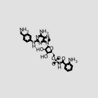 NCc1ccc(Nc2nc(N)c3ncn([C@@H]4O[C@H](COS(=O)(=O)NC(=O)c5ccccc5N)[C@@H](O)[C@H]4O)c3n2)cc1